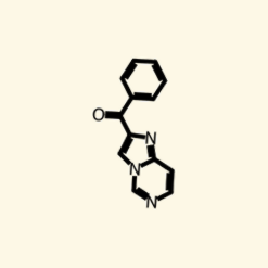 O=C(c1ccccc1)c1cn2cnccc2n1